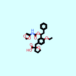 CCOc1ccc(CC2(C(=O)O)CCCO2)cc1C(Cc1ccccc1)OC(=O)NC1=COCO1